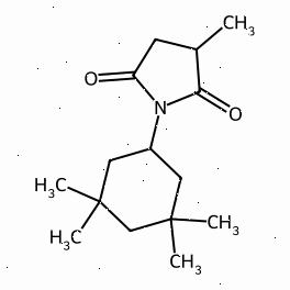 CC1CC(=O)N(C2CC(C)(C)CC(C)(C)C2)C1=O